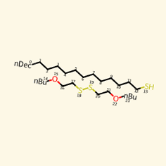 CCCCCCCCCCCCCCCCCCCCCCS.CCCCOCCSSCCOCCCC